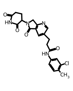 Cc1ccc(NC(=O)CCc2cnc3c(c2)C(=O)N(C2CCC(=O)NC2=O)C3)cc1Cl